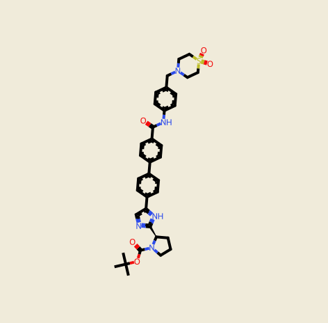 CC(C)(C)OC(=O)N1CCC[C@@H]1c1ncc(-c2ccc(-c3ccc(C(=O)Nc4ccc(CN5CCS(=O)(=O)CC5)cc4)cc3)cc2)[nH]1